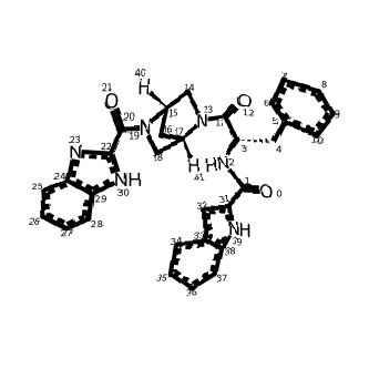 O=C(N[C@@H](Cc1ccccc1)C(=O)N1C[C@@H]2C[C@H]1CN2C(=O)c1nc2ccccc2[nH]1)c1cc2ccccc2[nH]1